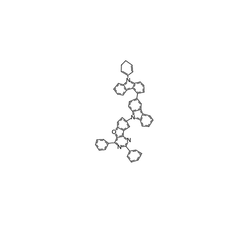 C1=CC(n2c3ccccc3c3c(-c4ccc5c(c4)c4ccccc4n5-c4ccc5oc6c(-c7ccccc7)nc(-c7ccccc7)nc6c5c4)cccc32)=CCC1